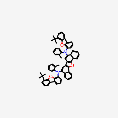 Cc1ccccc1N(C1=Cc2c(oc3c2cc(N(c2ccccc2C)c2cccc4c2oc2c(C(C)(C)C)cccc24)c2ccccc23)C2C=CC=CC12)c1cccc2c1oc1c(C(C)(C)C)cccc12